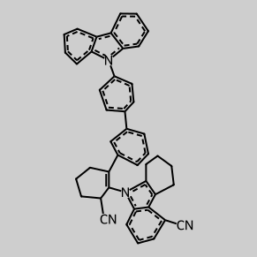 N#Cc1cccc2c1c1c(n2C2=C(c3cccc(-c4ccc(-n5c6ccccc6c6ccccc65)cc4)c3)CCCC2C#N)CCCC1